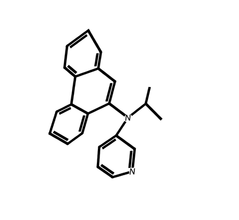 CC(C)N(c1cccnc1)c1cc2ccccc2c2ccccc12